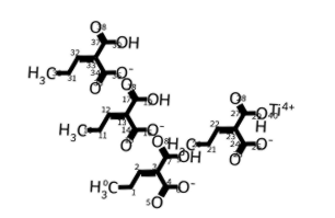 CC/C=C(\C(=O)[O-])C(=O)O.CC/C=C(\C(=O)[O-])C(=O)O.CC/C=C(\C(=O)[O-])C(=O)O.CC/C=C(\C(=O)[O-])C(=O)O.[Ti+4]